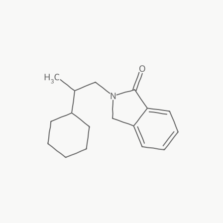 CC(CN1Cc2ccccc2C1=O)C1CCCCC1